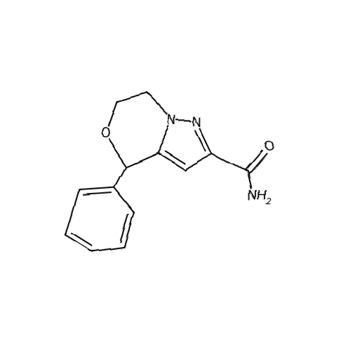 NC(=O)c1cc2n(n1)CCOC2c1ccccc1